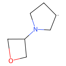 [CH]1CCN(C2COC2)C1